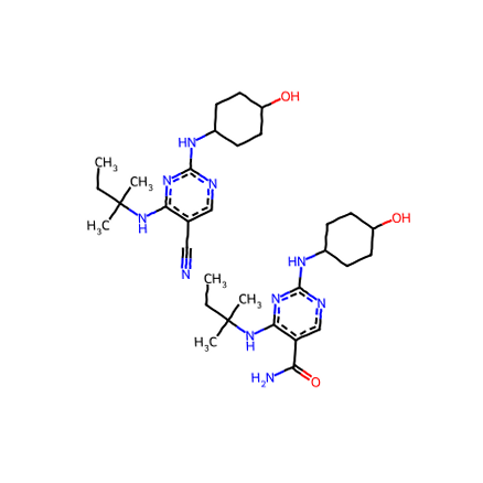 CCC(C)(C)Nc1nc(NC2CCC(O)CC2)ncc1C#N.CCC(C)(C)Nc1nc(NC2CCC(O)CC2)ncc1C(N)=O